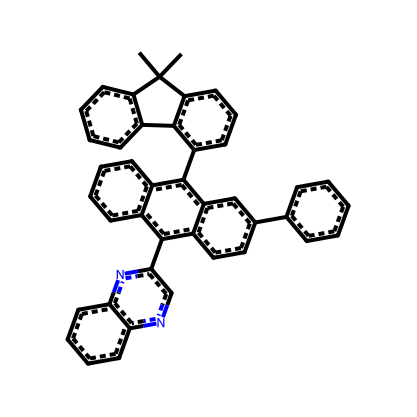 CC1(C)c2ccccc2-c2c(-c3c4ccccc4c(-c4cnc5ccccc5n4)c4ccc(-c5ccccc5)cc34)cccc21